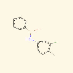 Cc1ccc(N[S+]([O-])c2ccccc2)cc1Cl